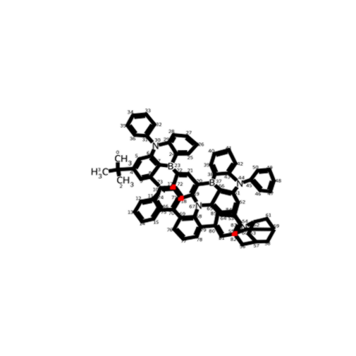 CC(C)(C)c1cc2c3c(c1)N(c1ccccc1)c1cc4c(cc1B3c1ccccc1N2c1ccccc1)B1c2ccccc2N(c2ccccc2)c2cc(N3C5CC6CC(C5)CC3C6)cc(c21)N4c1c(-c2ccccc2)cccc1-c1ccccc1